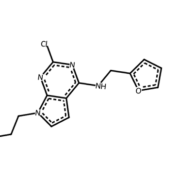 FCCn1ccc2c(NCc3ccco3)nc(Cl)nc21